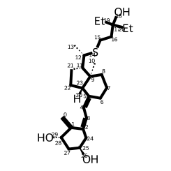 C=C1C(=CC=C2CCC[C@]3(C)[C@@H]([C@H](C)SCCC(O)(CC)CC)CC[C@@H]23)C[C@@H](O)C[C@@H]1O